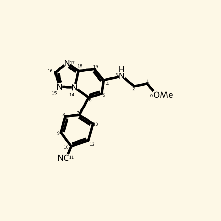 COCCNc1cc(-c2ccc(C#N)cc2)n2ncnc2c1